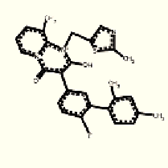 Cc1ccc(-c2cc(-c3c(O)[n+](Cc4cnc(C)s4)c4c(C)cccn4c3=O)ccc2F)c(C)c1